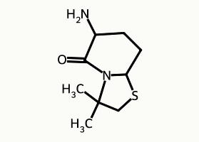 CC1(C)CSC2CCC(N)C(=O)N21